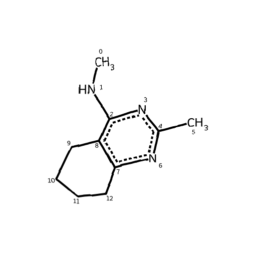 CNc1nc(C)nc2c1CCCC2